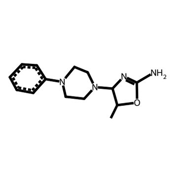 CC1OC(N)=NC1N1CCN(c2ccccc2)CC1